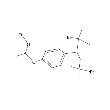 CCOC(C)Oc1ccc(C(CC(C)(C)CC)C(C)(C)CC)cc1